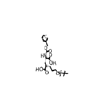 CC(C)(C)[Si](C)(C)OCCC[C@@H](C[C@H](NC(=O)OCc1ccccc1)C(=O)O)C(=O)O